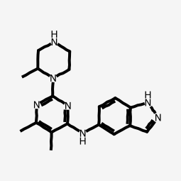 Cc1nc(N2CCNCC2C)nc(Nc2ccc3[nH]ncc3c2)c1C